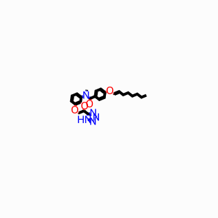 CCCCCC/C=C/Oc1ccc(C(=O)N(C)c2cccc3c2OC(c2nnn[nH]2)CO3)cc1